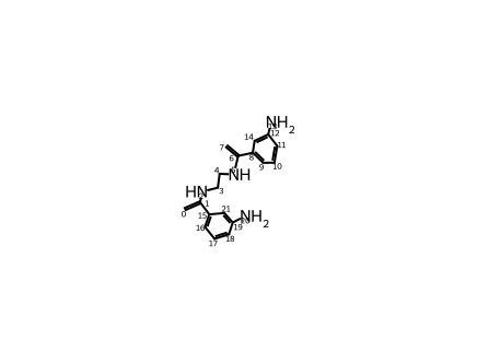 C=C(NCCNC(=C)c1cccc(N)c1)c1cccc(N)c1